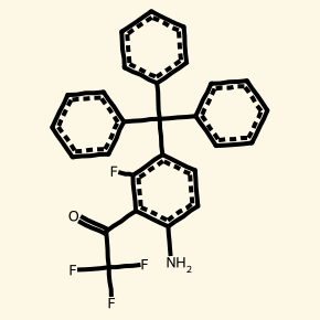 Nc1ccc(C(c2ccccc2)(c2ccccc2)c2ccccc2)c(F)c1C(=O)C(F)(F)F